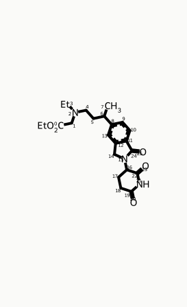 CCOC(=O)CN(CC)CCC(C)c1ccc2c(c1)CN(C1CCC(=O)NC1=O)C2=O